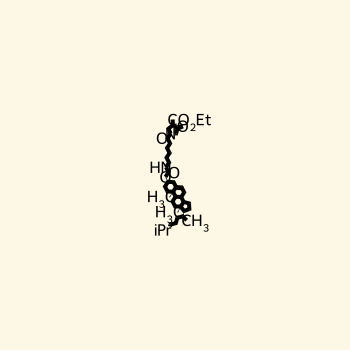 CCOC(=O)C1CN(C(=O)CCCCCNC(=O)O[C@H]2CC[C@@]3(C)C(=CCC4C3CC[C@@]3(C)C4CC[C@@H]3C(C)CCCC(C)C)C2)CC1=O